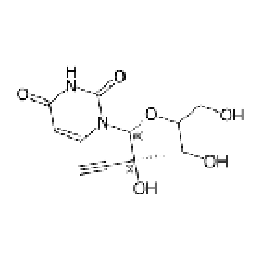 C#C[C@](C)(O)[C@@H](OC(CO)CO)n1ccc(=O)[nH]c1=O